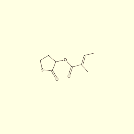 CC=C(C)C(=O)OC1CCSC1=O